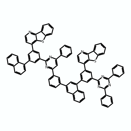 c1ccc(-c2cc(-c3cccc(-c4cc(-c5cc(-c6nc(-c7ccccc7)nc(-c7ccccc7)n6)cc(-c6ccnc7c6sc6ccccc67)c5)c5ccccc5c4)c3)nc(-c3cc(-c4cccc5ccccc45)cc(-c4ccnc5c4sc4ccccc45)c3)n2)cc1